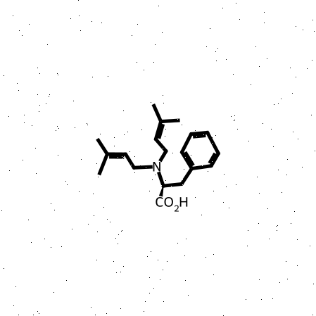 CC(C)=CCN(CC=C(C)C)[C@@H](Cc1ccccc1)C(=O)O